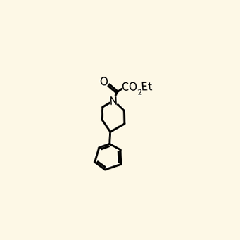 CCOC(=O)C(=O)N1CCC(c2ccccc2)CC1